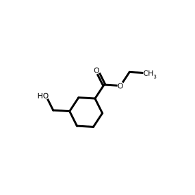 CCOC(=O)C1CCCC(CO)C1